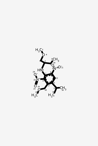 CCC(COC)Nc1c([N+](=O)[O-])cc(C(C)C)c(COC)c1[N+](=O)[O-]